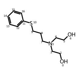 OCCN(CCO)CCCSc1ccccc1